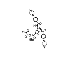 CN1CCN(c2ccc(C(=O)Nc3nn(C(=O)c4ccc(N5CCN(C)CC5)cc4)c4sc(C(=O)OC(C)(C)C)cc34)cc2)CC1.O=C(Cl)C(=O)Cl